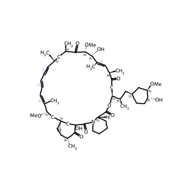 CO[C@H]1C[C@@H]2CC[C@@H](C)C(=O)C(O)(C2)C(=O)N2CCCC[C@H]2C(=O)O[C@H]([C@H](C)C[C@@H]2CC[C@@H](O)[C@H](OC)C2)CC(=O)[C@H](C)/C=C(\C)[C@@H](O)[C@@H](OC)C(=O)[C@H](C)C[C@H](C)/C=C/C=C/C=C/1C